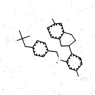 CCN(Cc1ccc(CC(C)(C)NC)cc1)c1cc(OC)ccc1C1CCc2cc(O)ccc2C1